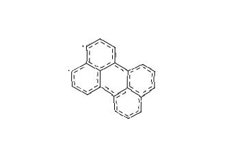 [c]1ccc2c3cccc4cccc(c5cc[c]c1c25)c43